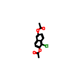 CC(=O)Oc1ccc2c(Cl)c(OC(C)=O)ccc2c1